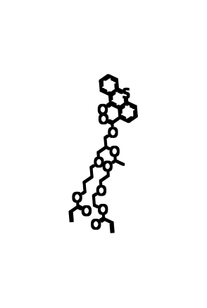 C=CC(=O)OCCCCOCC(COC(=O)c1cccc2sc3ccccc3c(=O)c12)OC(C)OCCOCCOC(=O)C=C